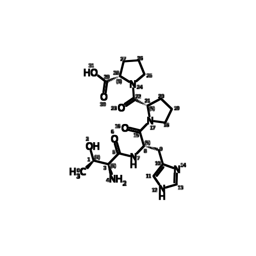 C[C@@H](O)[C@H](N)C(=O)N[C@@H](Cc1c[nH]cn1)C(=O)N1CCC[C@H]1C(=O)N1CCC[C@H]1C(=O)O